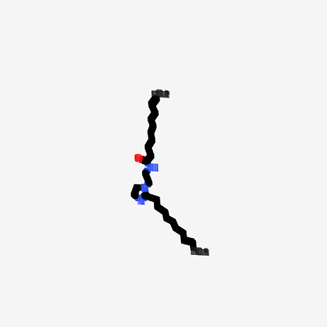 CCCCCCCCC=CCCCCCCCC(=O)NCCN1CCN=C1CCCCCCCC=CCCCCCCCC